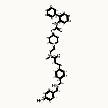 CN(CCN1CCC(OC(=O)Nc2ccccc2-c2ccccc2)CC1)C(=O)CCc1ccc(CNCc2ccc(O)cc2)cc1